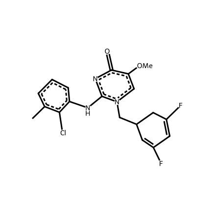 COc1cn(CC2C=C(F)C=C(F)C2)c(Nc2cccc(C)c2Cl)nc1=O